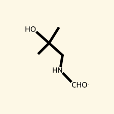 CC(C)(O)CN[C]=O